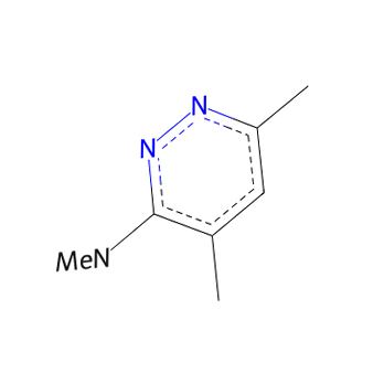 CNc1nnc(C)cc1C